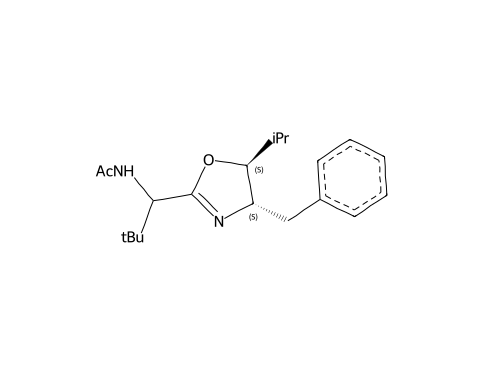 CC(=O)NC(C1=N[C@@H](Cc2ccccc2)[C@H](C(C)C)O1)C(C)(C)C